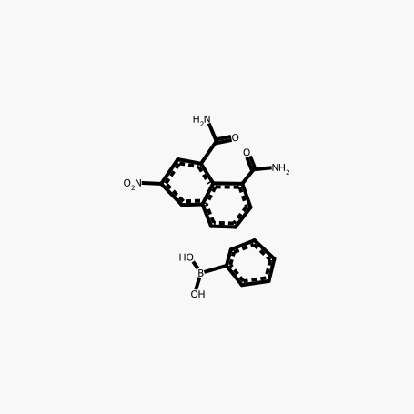 NC(=O)c1cccc2cc([N+](=O)[O-])cc(C(N)=O)c12.OB(O)c1ccccc1